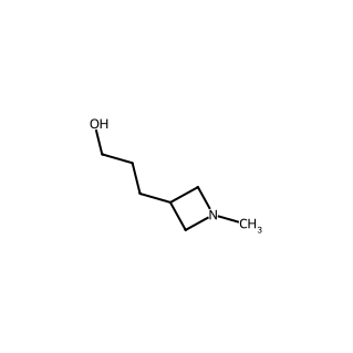 CN1CC(CCCO)C1